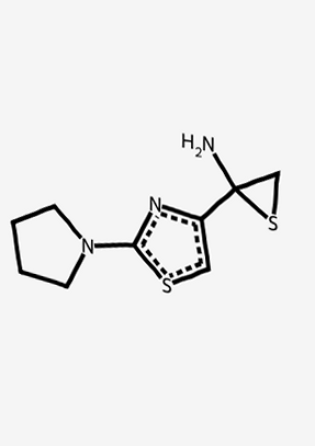 NC1(c2csc(N3CCCC3)n2)CS1